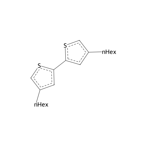 CCCCCCc1csc(-c2cc(CCCCCC)cs2)c1